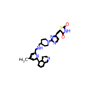 Cc1cc(CNCC2CCN(c3nccc(C=C4SC(=O)NC4=O)n3)CC2)nc(-c2cccc3cnccc23)c1